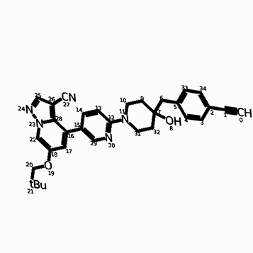 C#Cc1ccc(CC2(O)CCN(c3ccc(-c4cc(OCC(C)(C)C)cn5ncc(C#N)c45)cn3)CC2)cc1